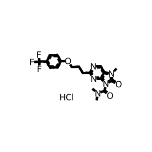 CN(C)C(=O)n1c(=O)n(C)c2cnc(CCCOc3ccc(C(F)(F)F)cc3)nc21.Cl